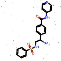 NC(CNS(=O)(=O)c1ccccc1)c1ccc(C(=O)Nc2ccncc2)cc1